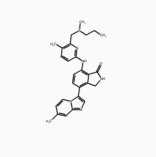 CCCN(C)Cc1nc(Nc2ccc(-c3cnc4cc(C)ccn34)c3c2C(=O)NC3)ccc1C